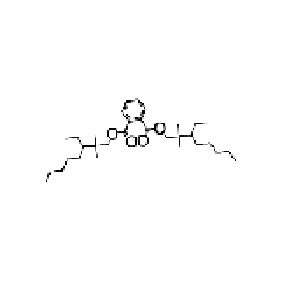 CCCCCC(CC)C(C)(C)COC(=O)c1ccccc1C(=O)OCC(C)(C)C(CC)CCCCC